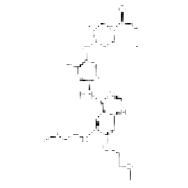 COCCOc1cc2ncnc(Nc3ccc(OC4CCN(C(=O)O)CC4)c(C)c3)c2cc1OCCOC